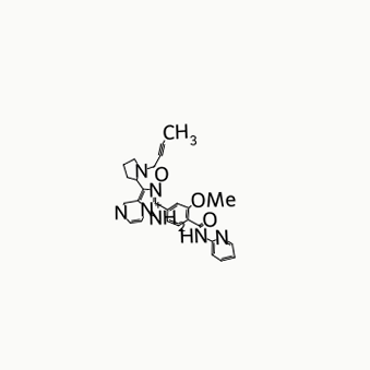 CC#CC(=O)N1CCCC1C1=C2C=NC=C[N+]2(N)C(c2ccc(C(=O)Nc3ccccn3)c(OC)c2)=N1